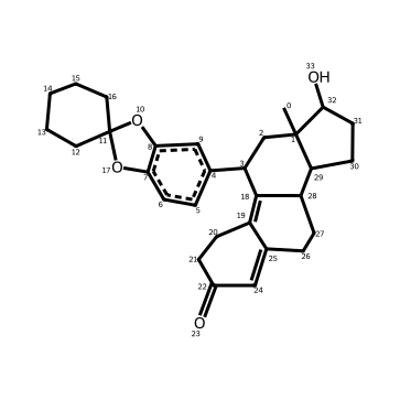 CC12CC(c3ccc4c(c3)OC3(CCCCC3)O4)C3=C4CCC(=O)C=C4CCC3C1CCC2O